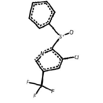 [O-][S+](c1ccccc1)c1ncc(C(F)(F)F)cc1Cl